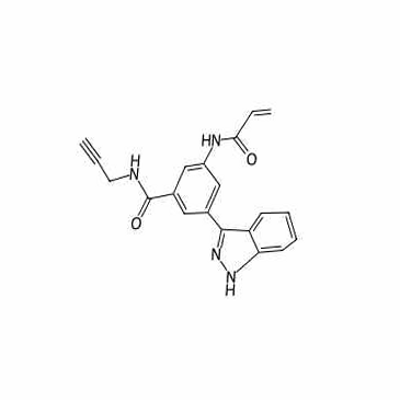 C#CCNC(=O)c1cc(NC(=O)C=C)cc(-c2n[nH]c3ccccc23)c1